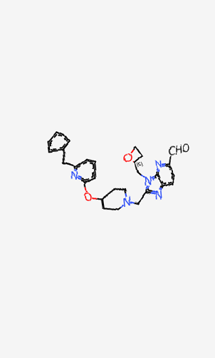 O=Cc1ccc2nc(CN3CCC(Oc4cccc(Cc5ccccc5)n4)CC3)n(C[C@@H]3CCO3)c2n1